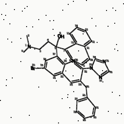 CN(C)CCC(O)(c1cccc2ccccc12)c1cc(Br)cc2cc(Cc3ccccc3)c(-n3cncn3)nc12